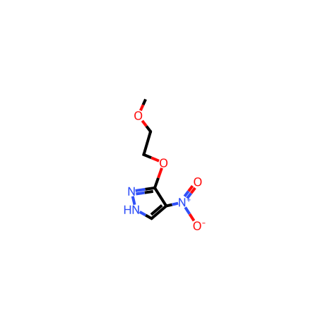 COCCOc1n[nH]cc1[N+](=O)[O-]